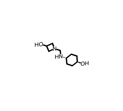 OC1CN(CN[C@H]2CC[C@H](O)CC2)C1